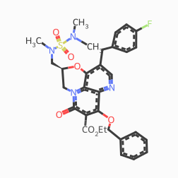 CCOC(=O)c1c(OCc2ccccc2)c2ncc(Cc3ccc(F)cc3)c3c2n(c1=O)C[C@@H](CN(C)S(=O)(=O)N(C)C)O3